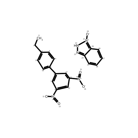 CCc1ccc(-c2cc([N+](=O)[O-])cc([N+](=O)[O-])c2)cc1.[O-][n+]1[nH]nc2ccccc21